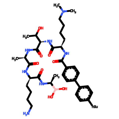 CCCCc1ccc(-c2ccc(C(=O)N[C@@H](CCCCN(C)C)C(=O)N[C@H](C(=O)N[C@@H](C)C(=O)N[C@@H](CCCCN)C(=O)N[C@@H](C)B(O)O)C(C)O)cc2)cc1